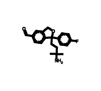 CC(C)(N)CCC1(c2ccc(F)cc2)OCc2cc(C=O)ccc21